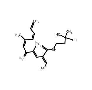 C=C/C=C\C(C)=C/C(=C)/C(C)=C/C(=C\C)C(=O)NCCC(C)(O)O